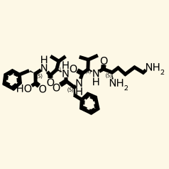 CC(C)[C@H](NC(=O)[C@H](Cc1ccccc1)NC(=O)[C@@H](NC(=O)[C@@H](N)CCCCN)C(C)C)C(=O)N[C@@H](Cc1ccccc1)C(=O)O